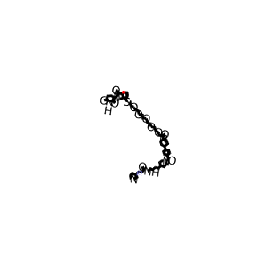 O=C(/C=C/c1cccnc1)NCCCCC1CCN(C(=O)c2ccc(C3CCN(C(=O)COCCOCCOCCOCCOCCSc4cccc5c4CN(C4CCC(=O)NC4=O)C5=O)CC3)cc2)CC1